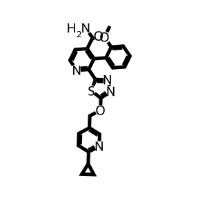 COc1ccccc1-c1c(C(N)=O)ccnc1-c1nnc(OCc2ccc(C3CC3)nc2)s1